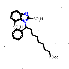 CCCCCCCCCCCCCCCCCC(c1ccccc1)n1c(S(=O)(=O)O)nc2cccc(S(=O)(=O)O)c21